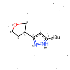 CCC(C)c1cc(C2CCOC2)n[nH]1